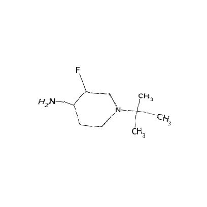 CC(C)(C)N1CCC(N)C(F)C1